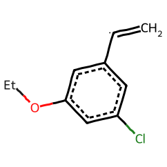 C=[C]c1cc(Cl)cc(OCC)c1